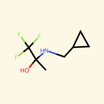 CC(O)(NCC1CC1)C(F)(F)F